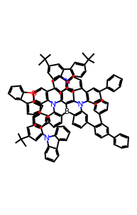 CC(C)(C)c1cc(-c2ccc3oc4ccccc4c3c2)c(-c2ccc3c(c2)N(c2c(-c4ccccc4)cccc2-c2ccccc2)c2cc(-n4c5ccc(C(C)(C)C)cc5c5cc(C(C)(C)C)ccc54)cc4c2B3c2ccc(-c3ccc(-c5ccccc5)cc3-c3ccccc3)cc2N4c2ccc(-c3ccccc3)cc2-c2ccccc2)c(-n2c3ccccc3c3ccccc32)c1